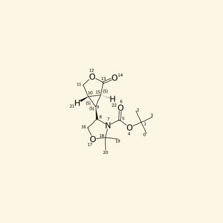 CC(C)(C)OC(=O)N1C([C@H]2[C@@H]3COC(=O)[C@H]32)COC1(C)C